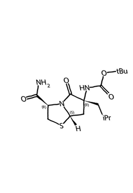 CC(C)C[C@@]1(NC(=O)OC(C)(C)C)C[C@@H]2SC[C@@H](C(N)=O)N2C1=O